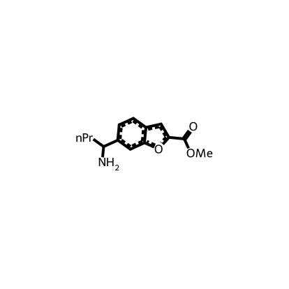 CCCC(N)c1ccc2cc(C(=O)OC)oc2c1